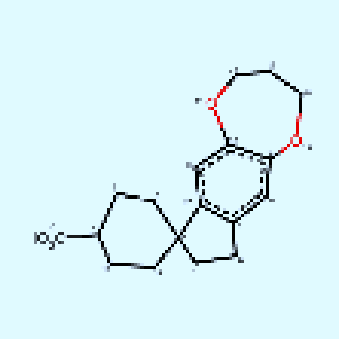 O=C(O)C1CCC2(CCc3cc4c(cc32)OCCCO4)CC1